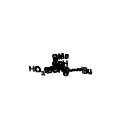 CCC(C)CCCCCCCCCCOC(=O)COc1ccc(-c2nc(-c3ccc(OC)cc3)nc(-c3ccc(OCC(=O)O)cc3O)n2)c(O)c1